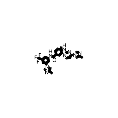 Cc1cn(-c2cc(NC(=O)C3C=CC(C)(Nc4nccc(-n5cnc(C)c5)n4)C=C3)cc(C(F)(F)F)c2)cn1